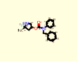 N#CC1(F)CC(OC(=O)N(Cc2ccccc2)c2ccccc2)CN1